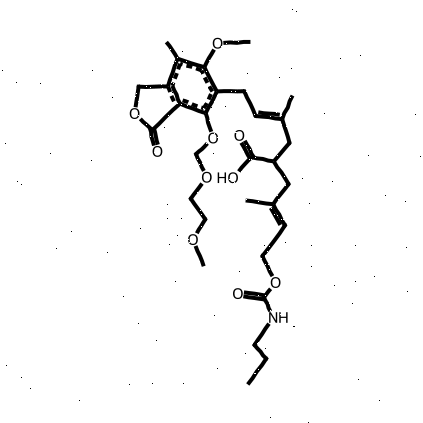 CCCNC(=O)OC/C=C(\C)CC(C/C(C)=C/Cc1c(OC)c(C)c2c(c1OCOCCOC)C(=O)OC2)C(=O)O